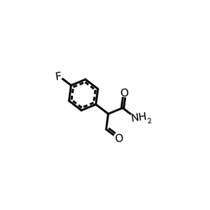 NC(=O)C(C=O)c1ccc(F)cc1